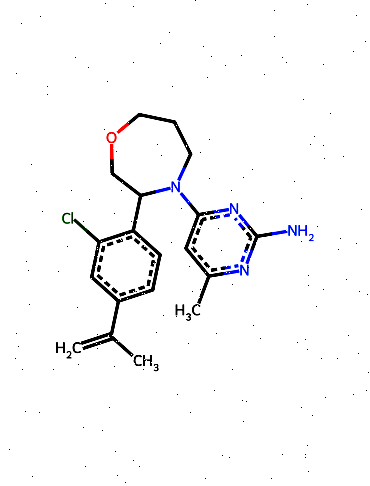 C=C(C)c1ccc(C2COCCCN2c2cc(C)nc(N)n2)c(Cl)c1